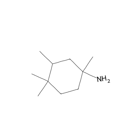 CC1CC(C)(N)CCC1(C)C